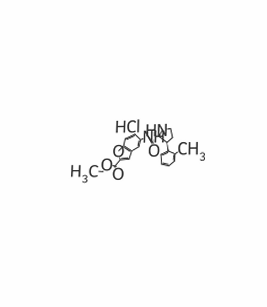 CCOC(=O)c1cc2cc(NC(=O)[C@@H]3NCC[C@H]3c3ccccc3C)ccc2o1.Cl